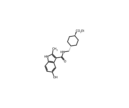 CCOC(=O)[C@H]1CC[C@H](CNC(=O)c2c(C)[nH]c3ccc(O)cc23)CC1